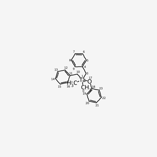 [CH3][Ta]([CH3])([CH2]c1ccccc1)([CH2]c1ccccc1)[O]c1ccccc1